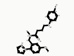 COc1ccc(-n2cccn2)c(CN(C)C(=O)CCCSc2ccc(F)cc2)c1